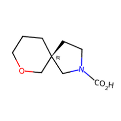 O=C(O)N1CC[C@@]2(CCCOC2)C1